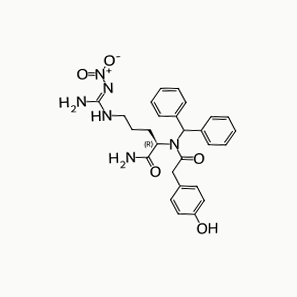 NC(=O)[C@@H](CCCNC(N)=N[N+](=O)[O-])N(C(=O)Cc1ccc(O)cc1)C(c1ccccc1)c1ccccc1